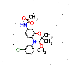 Cc1ccc(Cl)cc1N1C(=O)C(C)(C)Oc2cc(NS(C)(=O)=O)ccc21